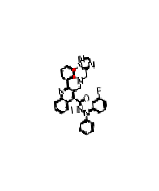 O=C(NN(c1ccccc1)c1cccc(F)c1)c1c(CN2CCn3ncnc3C2)c(-c2ccccc2)nc2ccccc12